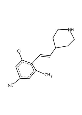 Cc1cc(C#N)cc(Cl)c1/C=C/C1CCNCC1